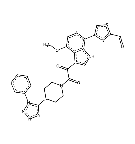 COc1cnc(-c2csc(C=O)n2)c2[nH]cc(C(=O)C(=O)N3CCN(c4nnnn4-c4ccccc4)CC3)c12